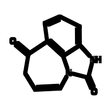 O=C1CC=Cn2c(=O)[nH]c3cccc1c32